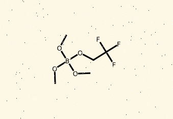 CO[B-](OC)(OC)OCC(F)(F)F